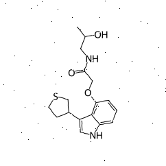 CC(O)CNC(=O)COc1cccc2[nH]cc(C3CCSC3)c12